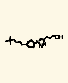 CC(C)(C)CCCCc1ccc(-n2cc(CCCO)nn2)cc1